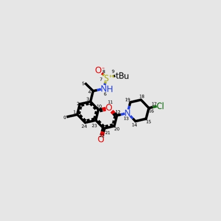 Cc1cc(C(C)N[S+]([O-])C(C)(C)C)c2oc(N3CCC(Cl)CC3)cc(=O)c2c1